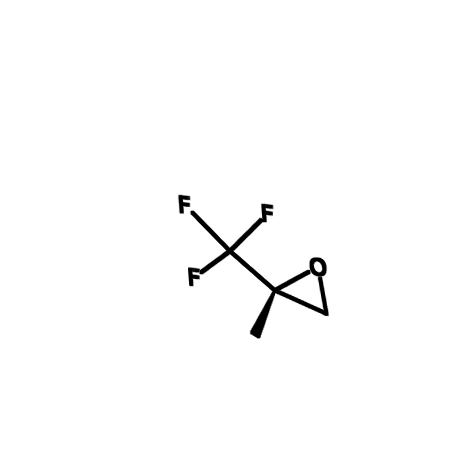 C[C@]1(C(F)(F)F)CO1